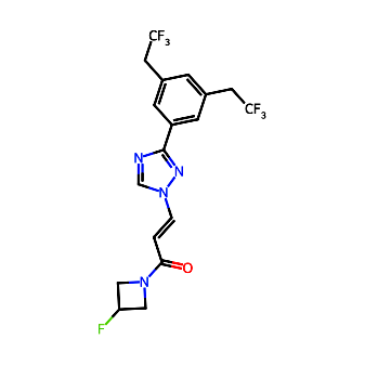 O=C(C=Cn1cnc(-c2cc(CC(F)(F)F)cc(CC(F)(F)F)c2)n1)N1CC(F)C1